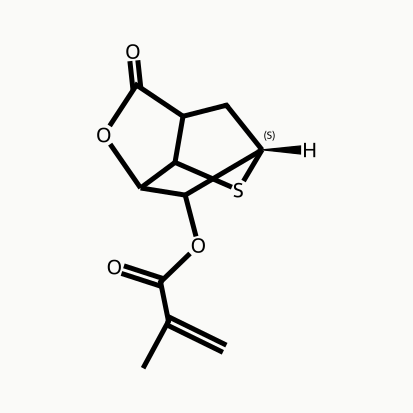 C=C(C)C(=O)OC1C2OC(=O)C3C[C@@H]1SC32